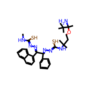 CN/C(S)=N/N=C(/C(=N/N=C(\S)NC(C)(C)CCOC(C)(N)C(C)(C)C)c1ccccc1)c1cccc2ccccc12